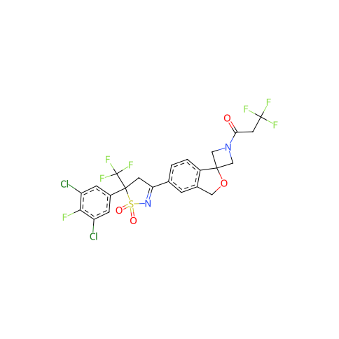 O=C(CC(F)(F)F)N1CC2(C1)OCc1cc(C3=NS(=O)(=O)C(c4cc(Cl)c(F)c(Cl)c4)(C(F)(F)F)C3)ccc12